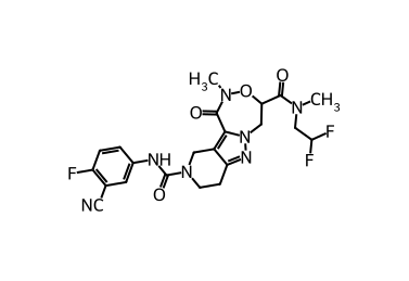 CN(CC(F)F)C(=O)C1Cn2nc3c(c2C(=O)N(C)O1)CN(C(=O)Nc1ccc(F)c(C#N)c1)CC3